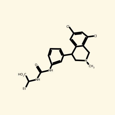 CCC(NC(=O)Nc1cccc(C2CN(C)Cc3c(Cl)cc(Cl)cc32)c1)C(=O)O